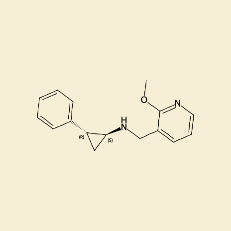 COc1ncccc1CN[C@H]1C[C@@H]1c1ccccc1